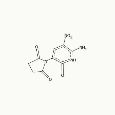 Nc1[nH]c(=O)c(N2C(=O)CCC2=O)cc1[N+](=O)[O-]